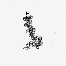 CC(C)c1ccc(Oc2ccc(C(=O)c3cccc(C(=O)c4ccc(Oc5ccc(N6C(=O)c7ccc(C(=O)c8ccc9c(c8)C(=O)NC9=O)cc7C6=O)cc5)cc4)c3)cc2)cc1